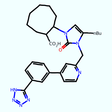 CCCCc1cn(C2CCCCCCC2C(=O)O)c(=O)n1Cc1cc(-c2cccc(-c3nnn[nH]3)c2)ccn1